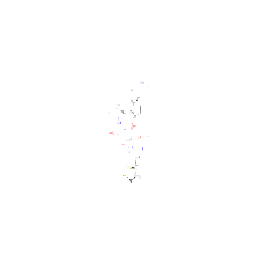 O=C(NCCc1cccs1)[C@H](O)[C@@H](O)C(=O)N1CCC[C@@H]1c1cccc(N2CCNCC2)c1